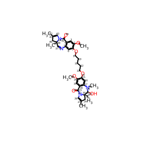 COc1cc2c(cc1OCCCCCOc1cc3c(cc1OC)C(=O)N1C=C(C)C[C@@]1(C)[C@H](O)N3C)N=C[C@]1(C)CC(C)=CN1C2=O